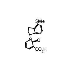 CSc1cccc2c1CCC2n1cccc(C(=O)O)c1=O